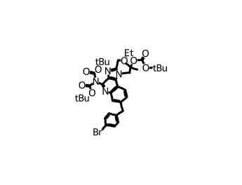 CCOCc1nc2c(N(C(=O)OC(C)(C)C)C(=O)OC(C)(C)C)nc3cc(Cc4ccc(Br)cc4)ccc3c2n1CC(C)(C)OC(=O)OC(C)(C)C